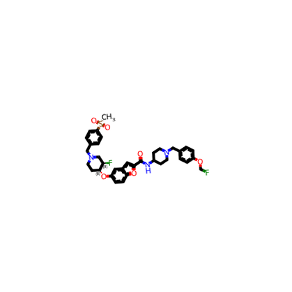 CS(=O)(=O)c1ccc(CN2CC[C@@H](Oc3ccc4oc(C(=O)NC5CCN(Cc6ccc(OCF)cc6)CC5)cc4c3)[C@H](F)C2)cc1